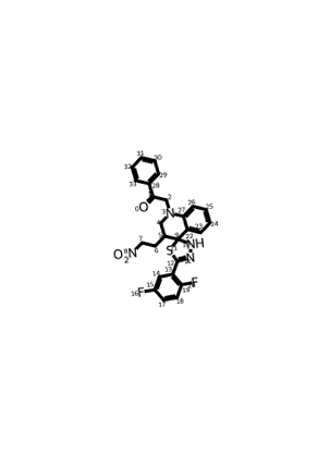 O=C(CN1CC(CC[N+](=O)[O-])C2(NN=C(c3cc(F)ccc3F)S2)c2ccccc21)c1ccccc1